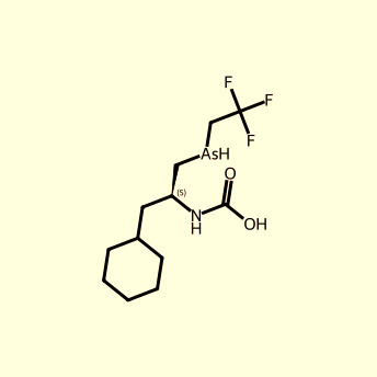 O=C(O)N[C@H](C[AsH]CC(F)(F)F)CC1CCCCC1